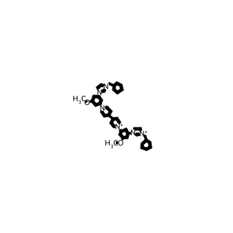 COc1cc(-n2cc[n+](Cc3ccccc3)c2)cc(-[n+]2ccc(-c3cc[n+](-c4cc(OC)cc(-n5cc[n+](Cc6ccccc6)c5)c4)cc3)cc2)c1